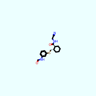 N#CCNC(=O)[C@H]1CCCC[C@@H]1CSc1cccc(NC=O)c1